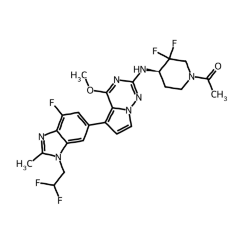 COc1nc(N[C@@H]2CCN(C(C)=O)CC2(F)F)nn2ccc(-c3cc(F)c4nc(C)n(CC(F)F)c4c3)c12